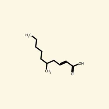 CCCCCC(C)CC=CC(=O)O